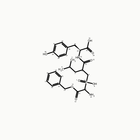 CC(C)CC(CP(=O)(O)C(N)C(=O)OCc1ccccc1)C(=O)N[C@@H](Cc1ccc(O)cc1)C(=O)O